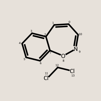 C1=Cc2ccccc2ON=C1.ClCCl